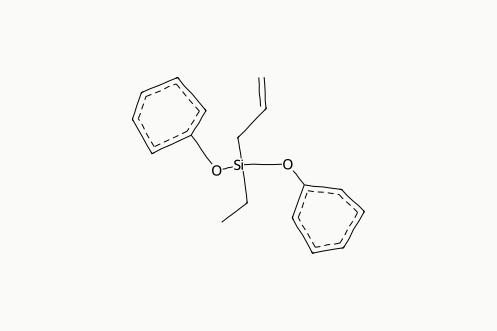 C=CC[Si](CC)(Oc1ccccc1)Oc1ccccc1